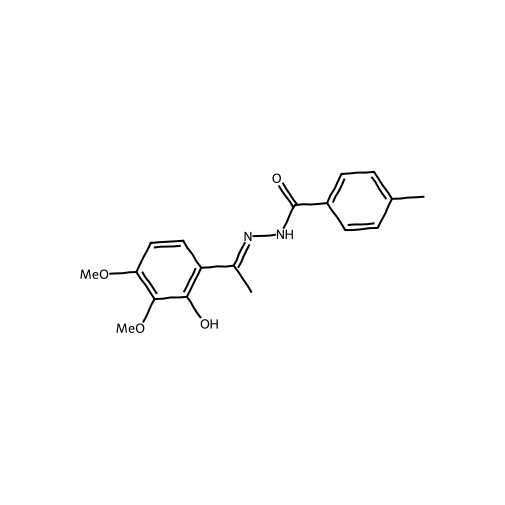 COc1ccc(/C(C)=N/NC(=O)c2ccc(C)cc2)c(O)c1OC